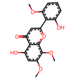 COc1cccc(O)c1-c1cc(=O)c2c(O)cc(OC)c(OC)c2o1